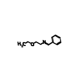 CCOCCN=Cc1ccccc1